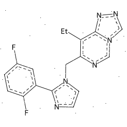 CCc1c(Cn2ccnc2-c2cc(F)ccc2F)ncn2cnnc12